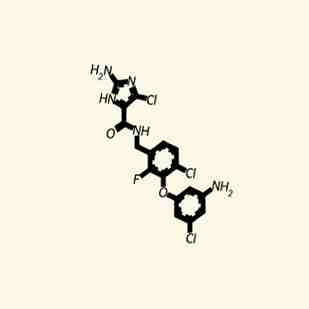 Nc1cc(Cl)cc(Oc2c(Cl)ccc(CNC(=O)c3[nH]c(N)nc3Cl)c2F)c1